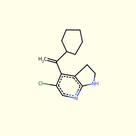 C=C(c1c(Cl)cnc2c1CCN2)C1CCCCC1